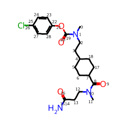 CN(CCC1CCC(C(=O)N(C)CCC(N)=O)CC1)C(=O)Oc1ccc(Cl)cc1